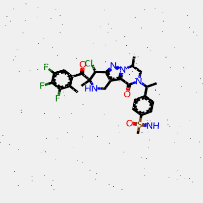 Cc1c(C(=O)C2(C)NCc3c(nn4c3C(=O)N(C(C)c3ccc(S(C)(=N)=O)cc3)CC4C)C2Cl)cc(F)c(F)c1F